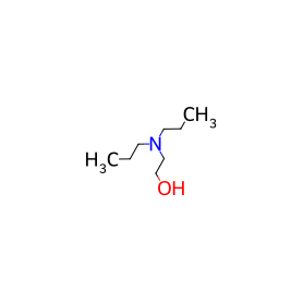 CCCN(CCC)CCO